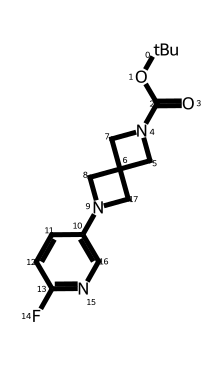 CC(C)(C)OC(=O)N1CC2(C1)CN(c1ccc(F)nc1)C2